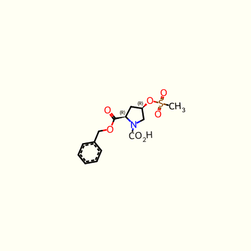 CS(=O)(=O)O[C@@H]1C[C@H](C(=O)OCc2ccccc2)N(C(=O)O)C1